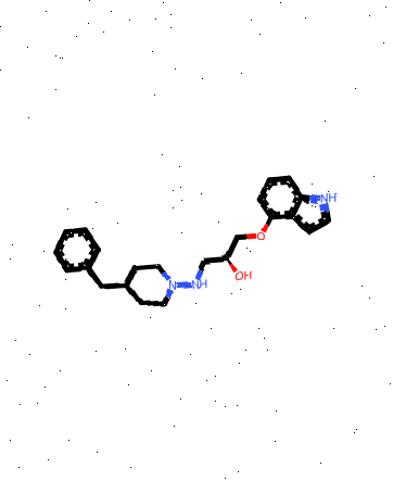 O[C@@H](CNN1CCC(Cc2ccccc2)CC1)COc1cccc2[nH]ccc12